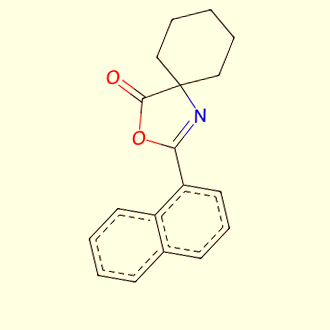 O=C1OC(c2cccc3ccccc23)=NC12CCCCC2